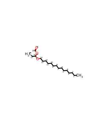 CCCCCCCCCCCCCCCOC(CC)O[C]=O